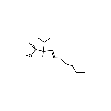 CCCCCC=CC(C)(C(=O)O)C(C)C